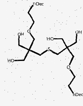 CCCCCCCCCCCCOCC(CO)(CO)CSCC(CO)(CO)COCCCCCCCCCCCC